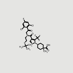 CC(C)(C)SCCN(CC(=O)c1c(Cl)cc(F)cc1Cl)C(=O)c1cnn([C@H]2CC[C@](C)(C(=O)O)CC2)c1C(F)(F)F